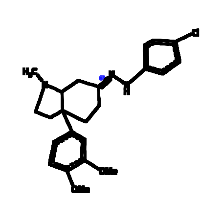 COc1ccc(C23CC/C(=N\Nc4ccc(Cl)cc4)CC2N(C)CC3)cc1OC